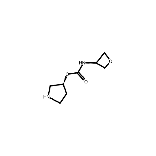 O=C(NC1COC1)O[C@H]1CCNC1